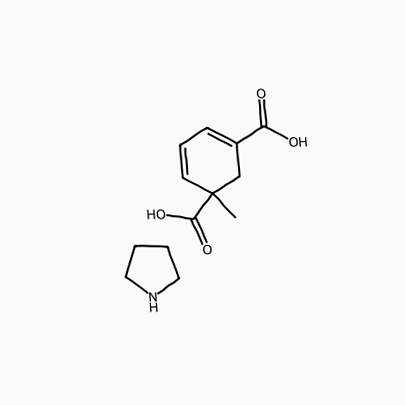 C1CCNC1.CC1(C(=O)O)C=CC=C(C(=O)O)C1